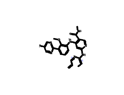 C=C/C=N\C(=C/C)Nc1cc(Nc2cccc(-c3ncc(F)cn3)c2OC)c(C(=O)NC)cn1